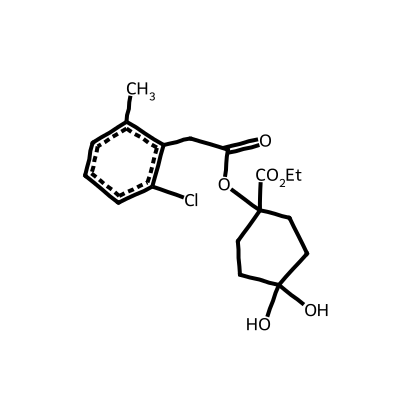 CCOC(=O)C1(OC(=O)Cc2c(C)cccc2Cl)CCC(O)(O)CC1